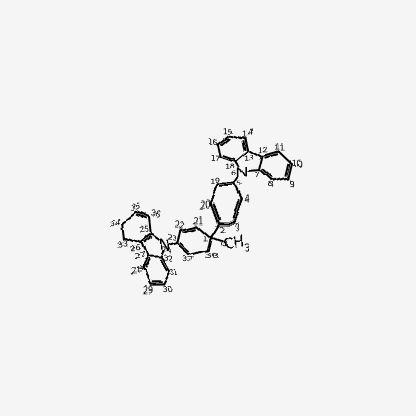 CC1(c2ccc(-n3c4ccccc4c4ccccc43)cc2)C=CC(n2c3c(c4ccccc42)CCC=C3)=CC1